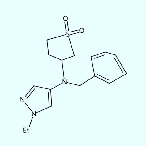 CCn1cc(N(Cc2ccccc2)C2CCS(=O)(=O)C2)cn1